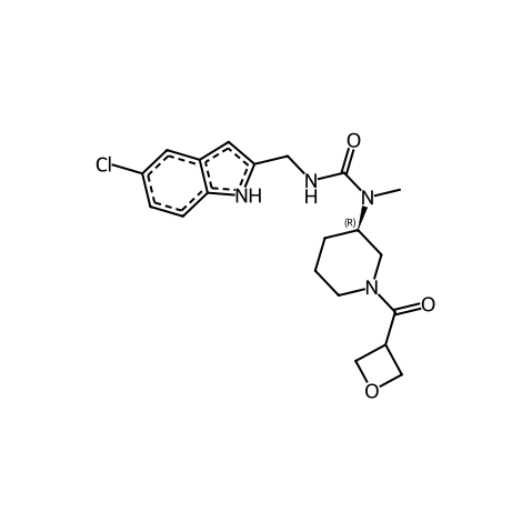 CN(C(=O)NCc1cc2cc(Cl)ccc2[nH]1)[C@@H]1CCCN(C(=O)C2COC2)C1